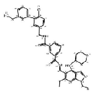 CCc1nc2c(cnn2CC)c(NC2CCOCC2)c1CNC(=O)c1cccc(C(=O)NCc2ccc(Cl)c(-c3cccc(CO)c3)c2)n1